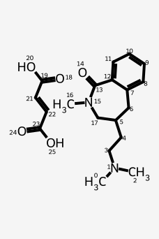 CN(C)CCC1Cc2ccccc2C(=O)N(C)C1.O=C(O)C=CC(=O)O